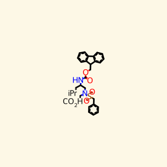 CC(C)CC(CN(CC(=O)O)S(=O)(=O)Cc1ccccc1)NC(=O)OCC1c2ccccc2-c2ccccc21